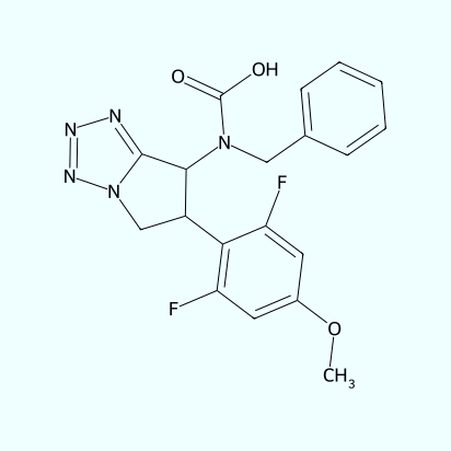 COc1cc(F)c(C2Cn3nnnc3C2N(Cc2ccccc2)C(=O)O)c(F)c1